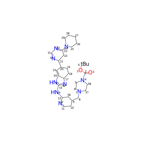 CC(C)(C)OC(=O)N1CCN(CC2CC=NC(NC3=NC4CCC(C5CC(N6CCCCC6)=NC=N5)C=C4N3)C2)CC1